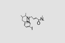 CC(Cc1ccc(I)cc1)C(C)NC/C=C/C(=O)N(C)C